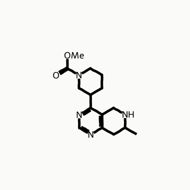 COC(=O)N1CCCC(c2ncnc3c2CNC(C)C3)C1